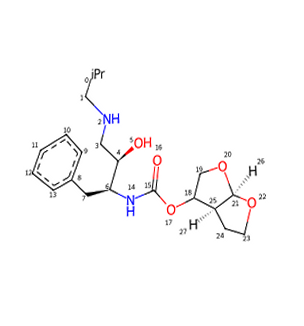 CC(C)CNC[C@@H](O)[C@H](Cc1ccccc1)NC(=O)OC1CO[C@H]2OCC[C@@H]12